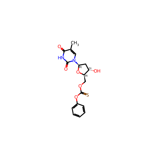 Cc1cn([C@H]2C[C@H](O)[C@@H](COC(=S)Oc3ccccc3)O2)c(=O)[nH]c1=O